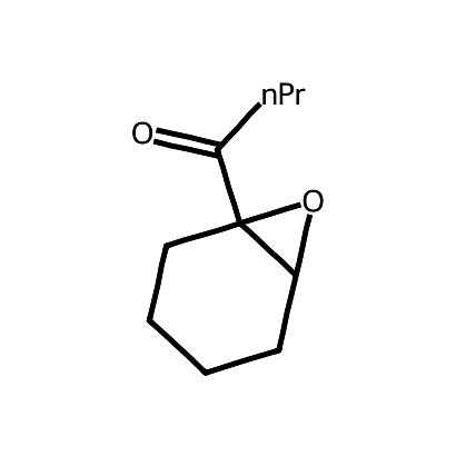 [CH2]CCC(=O)C12CCCCC1O2